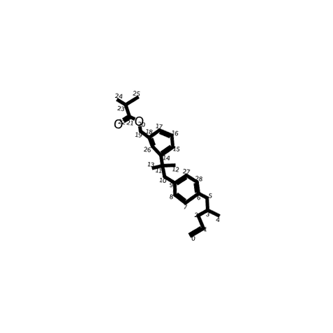 C=CCC(C)Cc1ccc(CC(C)(C)c2cccc(COC(=O)C(C)C)c2)cc1